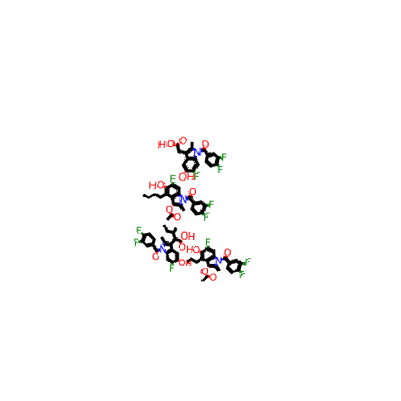 CCC(C)C(C(=O)O)c1c(C)n(C(=O)c2ccc(F)c(F)c2)c2cc(F)c(O)cc12.CCCCc1c(O)c(F)cc2c1c(OC(C)=O)c(C)n2C(=O)c1ccc(F)c(F)c1.CCCc1c(O)c(F)cc2c1c(OC(C)=O)c(C)n2C(=O)c1ccc(F)c(F)c1.Cc1c(CC(=O)O)c2cc(O)c(F)cc2n1C(=O)c1ccc(F)c(F)c1